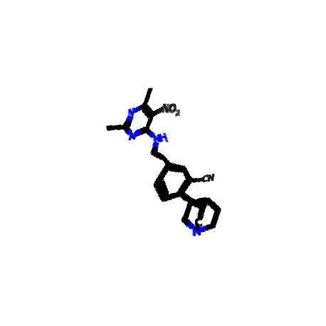 Cc1nc(C)c([N+](=O)[O-])c(NCc2ccc(C3CN4CCC3CC4)c(C#N)c2)n1